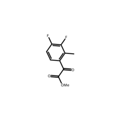 COC(=O)C(=O)c1ccc(F)c(F)c1C